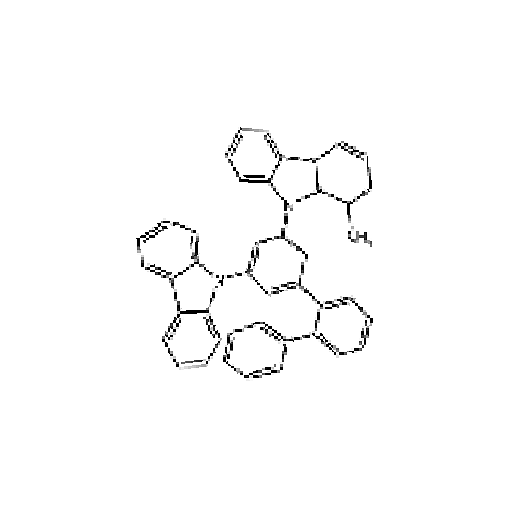 CC1CC=CC2c3ccccc3N(C3C=C(n4c5ccccc5c5ccccc54)C=C(c4ccccc4-c4ccccc4)C3)C12